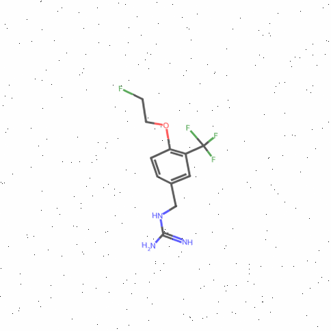 N=C(N)NCc1ccc(OCCF)c(C(F)(F)F)c1